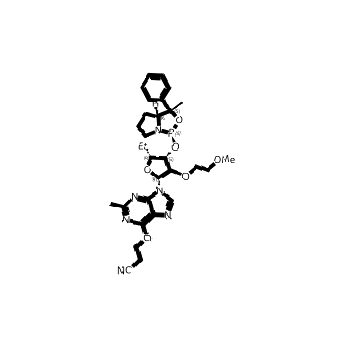 CC[C@H]1O[C@@H](n2cnc3c(OCCC#N)nc(C)nc32)C(OCCOC)[C@H]1O[P@]1O[C@@](C)(c2ccccc2)[C@H]2CCCN21